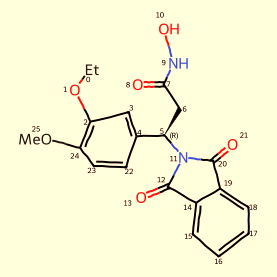 CCOc1cc([C@@H](CC(=O)NO)N2C(=O)c3ccccc3C2=O)ccc1OC